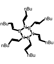 CCCCC=CB1N(C=CCCCC)B(C=CCCCC)N(C=CCCCC)B(C=CCCCC)N1C=CCCCC